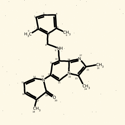 Cc1cccc(C)c1CNc1cc(-n2cccc(C)c2=O)cn2c(C)c(C)nc12